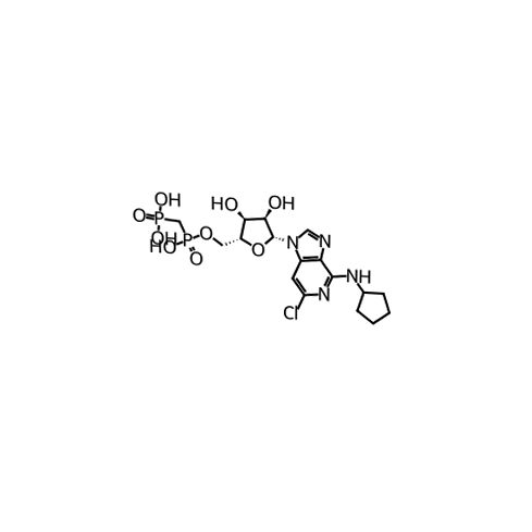 O=P(O)(O)CP(=O)(O)OC[C@H]1O[C@@H](n2cnc3c(NC4CCCC4)nc(Cl)cc32)[C@H](O)[C@@H]1O